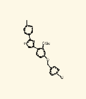 COc1cc(OCc2ccc(Cl)cc2)ccc1-c1c[nH]c(-c2ccc(C)cc2)n1